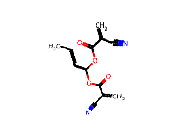 C=C(C#N)C(=O)OC(/C=C/C)OC(=O)C(=C)C#N